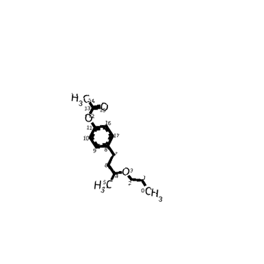 CCCOC(C)CCc1ccc(OC(C)=O)cc1